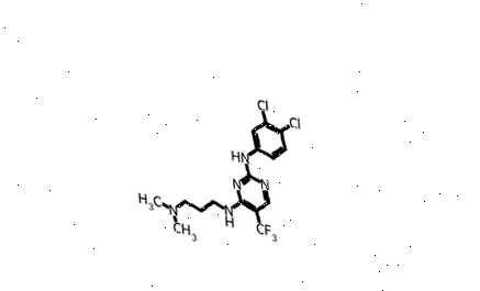 CN(C)CCCNc1nc(Nc2ccc(Cl)c(Cl)c2)ncc1C(F)(F)F